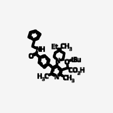 CCC1(C)CCN(c2c(-c3ccc(C(=O)NCc4ccccc4)cc3)c(C)nc(C)c2C(OC(C)(C)C)C(=O)O)CC1